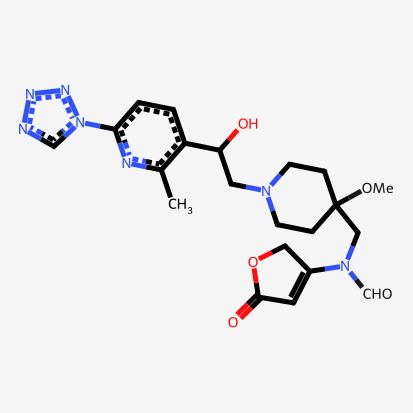 COC1(CN(C=O)C2=CC(=O)OC2)CCN(CC(O)c2ccc(-n3cnnn3)nc2C)CC1